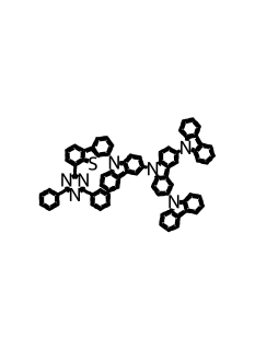 c1ccc(-c2nc(-c3ccccc3)nc(-c3cccc4c3sc3c(-n5c6ccccc6c6cc(-n7c8ccc(-n9c%10ccccc%10c%10ccccc%109)cc8c8cc(-n9c%10ccccc%10c%10ccccc%109)ccc87)ccc65)cccc34)n2)cc1